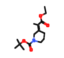 CCOC(=O)/C(C)=C1\CCCN(C(=O)OC(C)(C)C)C1